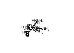 CCC[C@H](N)C(=O)N[C@@H](Cc1c[nH]c2ccccc12)C(=O)N[C@@H](CCCNC(=N)N)C(=O)N[C@@H](CCCCN)C(N)=O